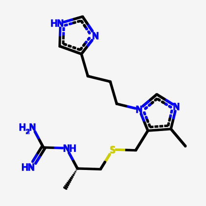 Cc1ncn(CCCc2c[nH]cn2)c1CSC[C@H](C)NC(=N)N